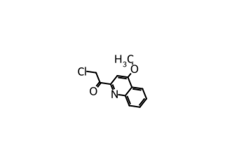 COc1cc(C(=O)CCl)nc2ccccc12